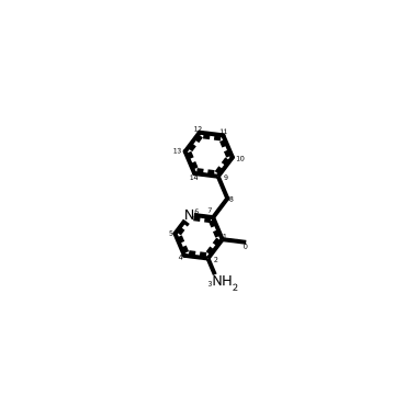 Cc1c(N)ccnc1Cc1ccccc1